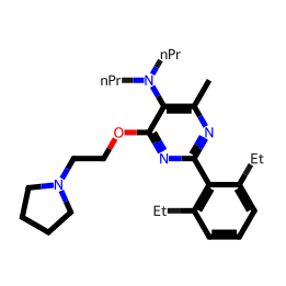 CCCN(CCC)c1c(C)nc(-c2c(CC)cccc2CC)nc1OCCN1CCCC1